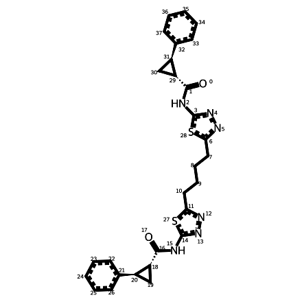 O=C(Nc1nnc(CCCCc2nnc(NC(=O)[C@@H]3C[C@H]3c3ccccc3)s2)s1)[C@@H]1C[C@H]1c1ccccc1